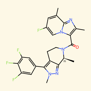 Cc1nc2c(C)cc(F)cn2c1C(=O)N1CCc2c(nn(C)c2-c2cc(F)c(F)c(F)c2)[C@@H]1C